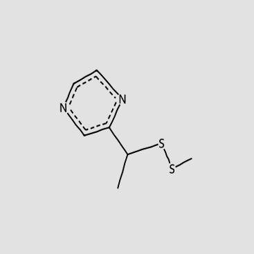 CSSC(C)c1cnccn1